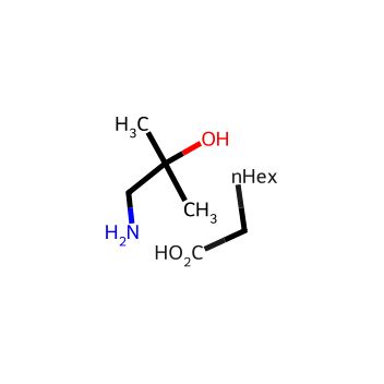 CC(C)(O)CN.CCCCCCCC(=O)O